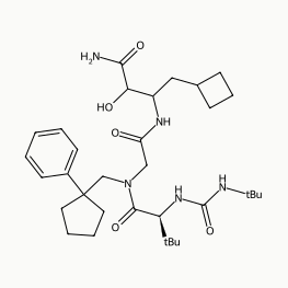 CC(C)(C)NC(=O)N[C@H](C(=O)N(CC(=O)NC(CC1CCC1)C(O)C(N)=O)CC1(c2ccccc2)CCCC1)C(C)(C)C